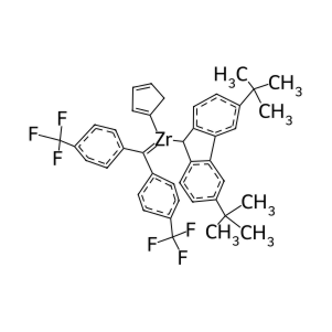 CC(C)(C)c1ccc2c(c1)-c1cc(C(C)(C)C)ccc1[CH]2[Zr]([C]1=CC=CC1)=[C](c1ccc(C(F)(F)F)cc1)c1ccc(C(F)(F)F)cc1